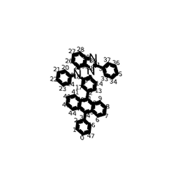 c1ccc(-c2c3ccccc3c(-c3ccc4c(c3)N(c3ccccc3)c3cccc5nc(-c6ccccc6)n-4c35)c3ccccc23)cc1